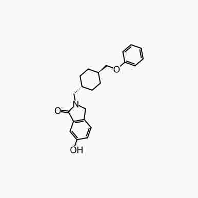 O=C1c2cc(O)ccc2CN1C[C@H]1CC[C@H](COc2ccccc2)CC1